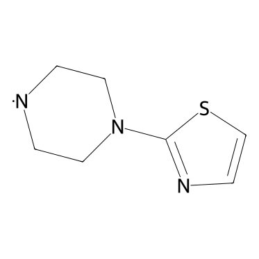 c1csc(N2CC[N]CC2)n1